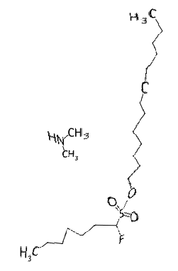 CCCCCCCCCCCCCOS(=O)(=O)C(F)CCCCCC.CNC